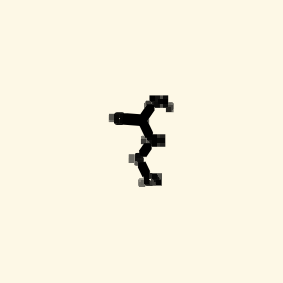 N#CSNC(N)=O